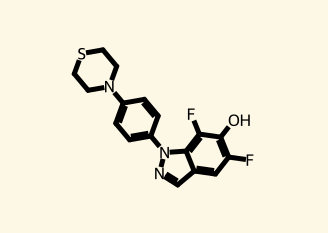 Oc1c(F)cc2cnn(-c3ccc(N4CCSCC4)cc3)c2c1F